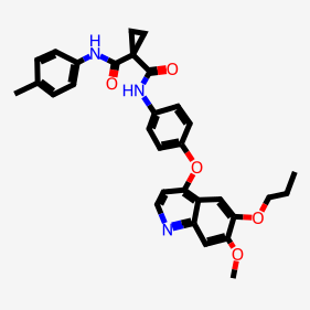 CCCOc1cc2c(Oc3ccc(NC(=O)C4(C(=O)Nc5ccc(C)cc5)CC4)cc3)ccnc2cc1OC